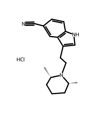 C[C@@H]1CCC[C@H](C)N1CCc1c[nH]c2ccc(C#N)cc12.Cl